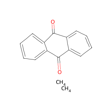 C.C.O=C1c2ccccc2C(=O)c2ccccc21